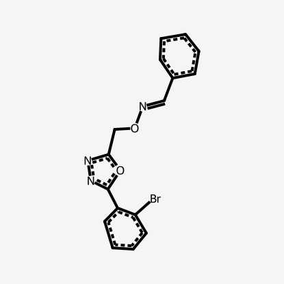 Brc1ccccc1-c1nnc(CON=Cc2ccccc2)o1